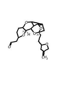 C=C1COC(CC[C@]23CC4=C(O2)C2C4OC4CCC(CC=O)O[C@@H]4C2O3)C1